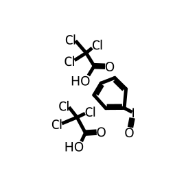 O=C(O)C(Cl)(Cl)Cl.O=C(O)C(Cl)(Cl)Cl.O=Ic1ccccc1